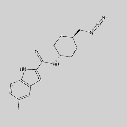 Cc1ccc2[nH]c(C(=O)N[C@H]3CC[C@H](CN=[N+]=[N-])CC3)cc2c1